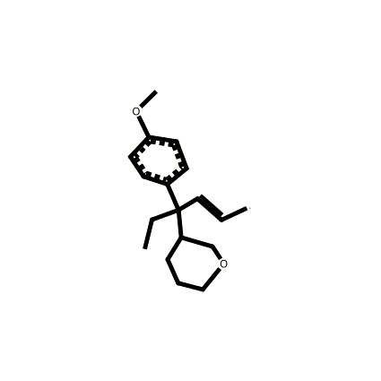 [CH2]C=CC(CC)(c1ccc(OC)cc1)C1CCCOC1